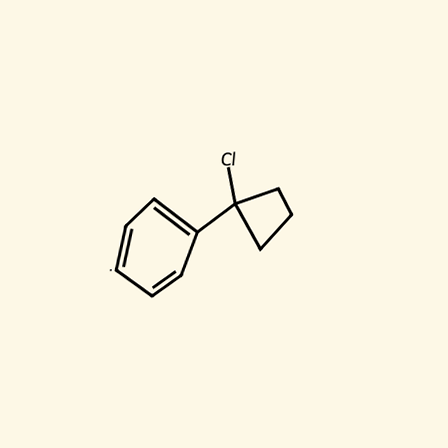 ClC1(c2cc[c]cc2)CCC1